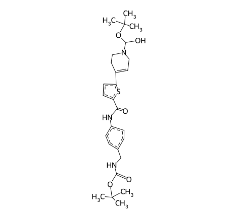 CC(C)(C)OC(=O)NCc1ccc(NC(=O)c2ccc(C3=CCN(C(O)OC(C)(C)C)CC3)s2)cc1